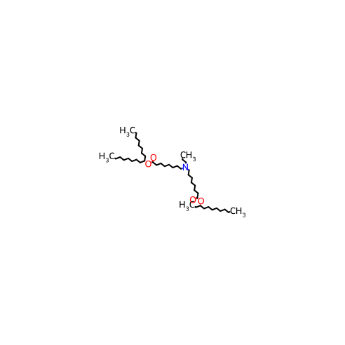 CCCCCCCCC(CC)OC(=O)CCCCCCCN(CCC)CCCCCCCC(=O)OC(CCCCCCCC)CCCCCCCC